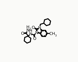 Cc1ccc2c(c1)n(CC1CCCCC1)c(=O)n2C(=O)NC1(C(N)=O)CCCCC1